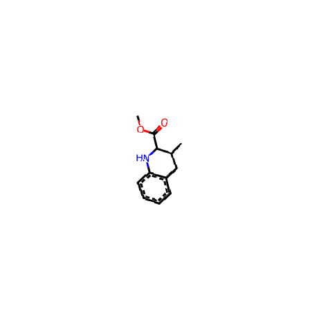 COC(=O)C1Nc2ccccc2CC1C